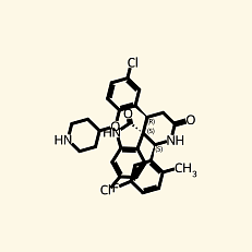 Cc1ccc(F)cc1[C@@H]1NC(=O)C[C@H](c2cc(Cl)ccc2OC2CCNCC2)[C@@]12C(=O)Nc1cc(Cl)ccc12